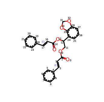 O=C(/C=C/c1ccccc1)OCC(OC(=O)/C=C/c1ccccc1)c1cccc2c1OCO2